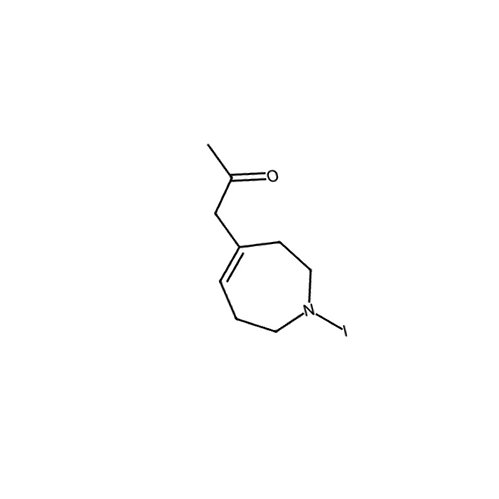 CC(=O)CC1=CCCN(I)CC1